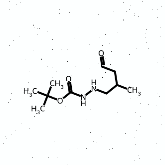 CC(CC=O)CNNC(=O)OC(C)(C)C